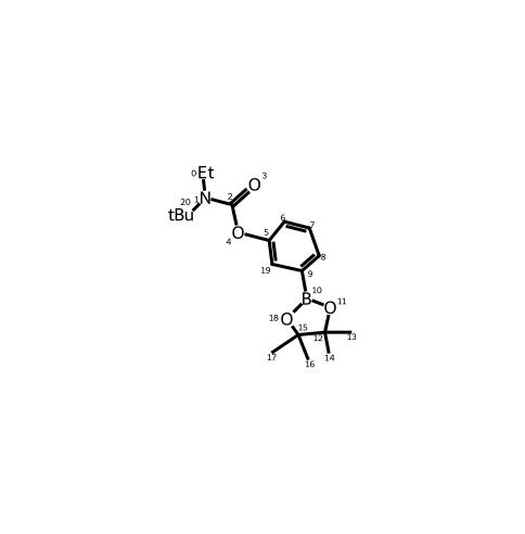 CCN(C(=O)Oc1cccc(B2OC(C)(C)C(C)(C)O2)c1)C(C)(C)C